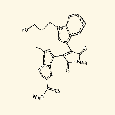 COC(=O)c1ccc2c(c1)c(C1=C(c3cn(CCCO)c4ccccc34)C(=O)NC1=O)cn2C